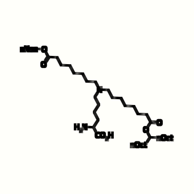 CCCCCCCCCOC(=O)CCCCCCCN(CCCCCCCC(=O)OC(CCCCCCCC)CCCCCCCC)CCCCC(N)C(=O)O